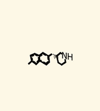 Cc1ccc2cc(C[C@H]3CCCNC3)ccc2c1